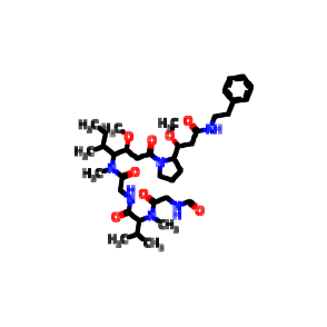 CCC(C)C(C(CC(=O)N1CCCC1C(CC(=O)NCCc1ccccc1)OC)OC)N(C)C(=O)CNC(=O)C(C(C)C)N(C)C(=O)CNC=O